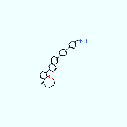 C=C1CCCCCOC2=C(c3ccc4c(c3)CCC(C3=CC=C(C5=CC=C(C=N)CC5)CC3)=C4)CCC=C12